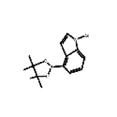 CC(=O)n1ccc2c(B3OC(C)(C)C(C)(C)O3)cccc21